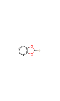 [S]C1Oc2ccccc2O1